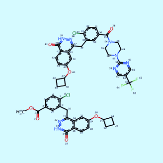 COC(=O)c1ccc(Cl)c(Cc2n[nH]c(=O)c3ccc(OC4CCC4)cc23)c1.O=C(c1ccc(Cl)c(Cc2n[nH]c(=O)c3ccc(OC4CCC4)cc23)c1)N1CCN(c2ncc(C(F)(F)F)cn2)CC1